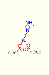 CCCCCCCCCCCC(=O)OCCN(CCCCN1CCC(N)CC1)CCOC(=O)CCCCCCCCCCC